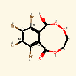 O=C1OCCOOC(=O)c2c(Br)c(Br)c(Br)c(Br)c21